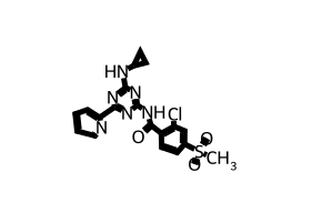 CS(=O)(=O)c1ccc(C(=O)Nc2nc(NC3CC3)nc(-c3ccccn3)n2)c(Cl)c1